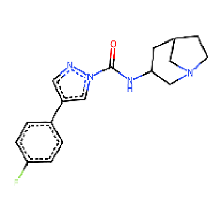 O=C(NC1CC2CCN(C2)C1)n1cc(-c2ccc(F)cc2)cn1